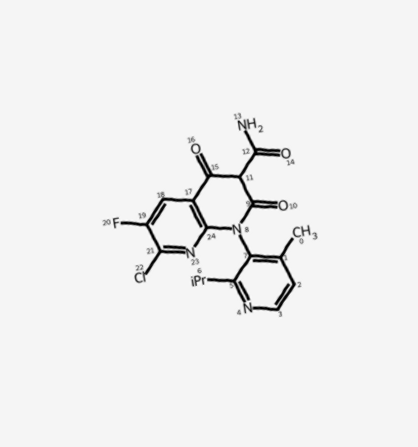 Cc1ccnc(C(C)C)c1N1C(=O)C(C(N)=O)C(=O)c2cc(F)c(Cl)nc21